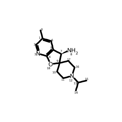 Cc1cnc2c(c1)[C@@H](N)C1(CCN(C(C)C)CC1)O2